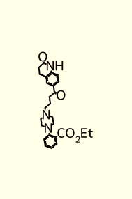 CCOC(=O)c1ccccc1N1CCN(CCCC(=O)c2ccc3c(c2)CCC(=O)N3)CC1